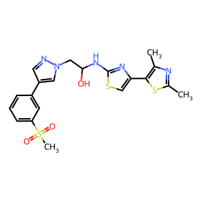 Cc1nc(C)c(-c2csc(NC(O)Cn3cc(-c4cccc(S(C)(=O)=O)c4)cn3)n2)s1